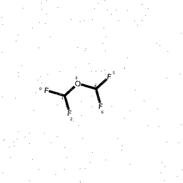 F[C](F)OC(F)F